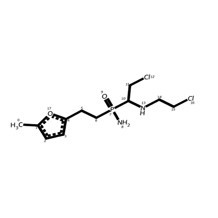 Cc1ccc(CCP(N)(=O)C(CCl)NCCCl)o1